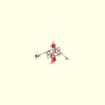 COc1ccc2sc(/C(C#N)=c3/c4c(-c5ccc(OCCCCC(=O)N[SH](=O)=O)cc5)n(B(c5ccccc5)c5ccccc5)/c(=C(/C#N)c5nc6cc(OC)ccc6s5)c4c(-c4ccc(OCCCCC(N)=O)cc4)n3B(c3ccccc3)c3ccccc3)nc2c1